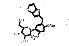 COc1cc(OC)c(C2OC(CO)[C@@H](O)C(O)[C@H]2O)cc1Cc1cc2sccc2s1